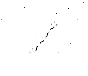 C[Si](C)(F)CCSCCOCCSCC[Si](C)(F)F